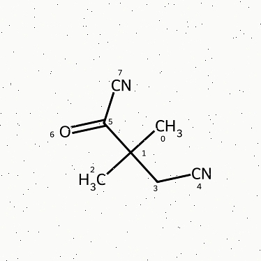 CC(C)(CC#N)C(=O)C#N